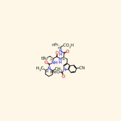 CCC[C@@H](NC(=O)[C@@H](Cc1cn(C(=O)OC)c2ccc(C#N)cc12)NC(=O)[C@H](CC(C)(C)C)NC(=O)N1[C@H](C)CCC[C@@H]1C)C(=O)O